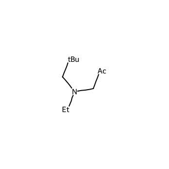 CCN(CC(C)=O)CC(C)(C)C